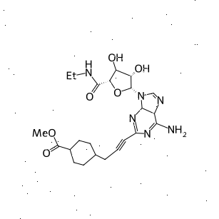 CCNC(=O)[C@H]1O[C@@H](N2C=NC3C(N)=NC(C#CCC4CCC(C(=O)OC)CC4)=NC32)[C@@H](O)C1O